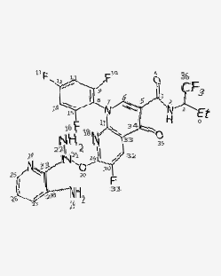 CCC(NC(=O)c1cn(-c2c(F)cc(F)cc2F)c2nc(ON(N)c3ncccc3N)c(F)cc2c1=O)C(F)(F)F